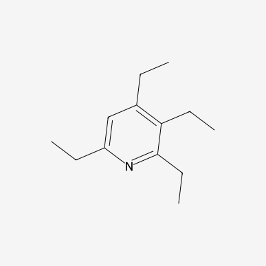 CCc1cc(CC)c(CC)c(CC)n1